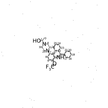 CC(O)N1CCN(c2ccc(OC(F)(F)F)c(NC(c3ccccc3)c3ccccc3)c2)CC1